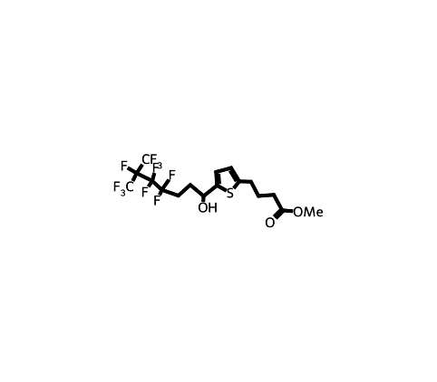 COC(=O)CCCc1ccc(C(O)CCC(F)(F)C(F)(F)C(F)(C(F)(F)F)C(F)(F)F)s1